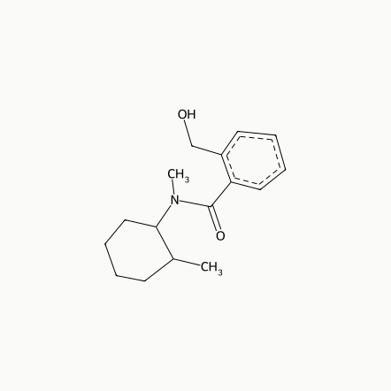 CC1CCCCC1N(C)C(=O)c1ccccc1CO